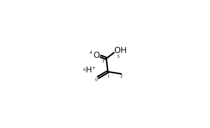 C=C(C)C(=O)O.[H+]